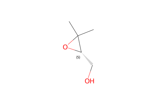 CC1(C)O[C@H]1CO